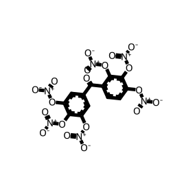 O=C(c1cc(O[N+](=O)[O-])c(O[N+](=O)[O-])c(O[N+](=O)[O-])c1)c1ccc(O[N+](=O)[O-])c(O[N+](=O)[O-])c1O[N+](=O)[O-]